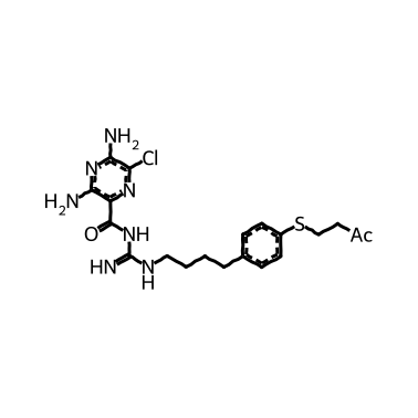 CC(=O)CCSc1ccc(CCCCNC(=N)NC(=O)c2nc(Cl)c(N)nc2N)cc1